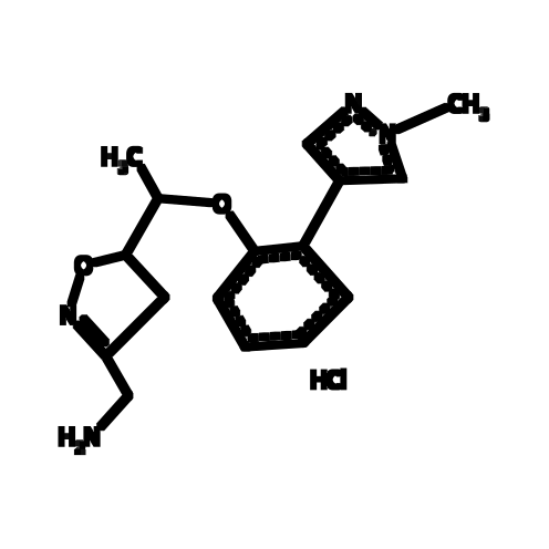 CC(Oc1ccccc1-c1cnn(C)c1)C1CC(CN)=NO1.Cl